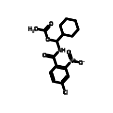 CC(=O)OC(NC(=O)c1ccc(Cl)cc1[N+](=O)[O-])C1CCCCC1